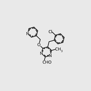 Cc1nc(C=O)nc(OCc2cccnc2)c1Cc1ccccc1Cl